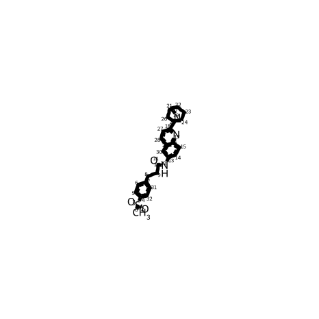 CS(=O)(=O)c1ccc(CCC(=O)Nc2ccc3nc(N4CC5CCC4CC5)ccc3c2)cc1